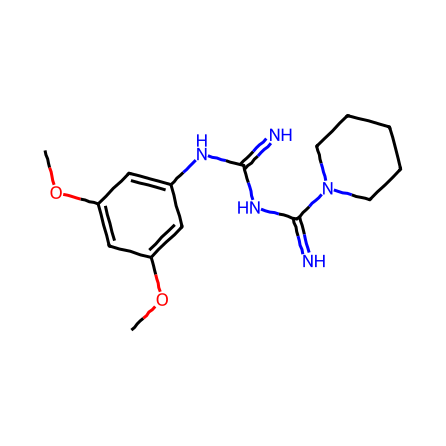 COc1cc(NC(=N)NC(=N)N2CCCCC2)cc(OC)c1